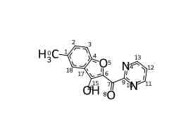 Cc1ccc2oc(C(=O)c3ncccn3)c(O)c2c1